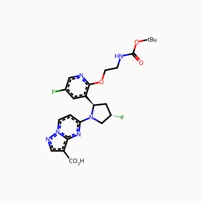 CC(C)(C)OC(=O)NCCOc1ncc(F)cc1[C@H]1C[C@H](F)CN1c1ccn2ncc(C(=O)O)c2n1